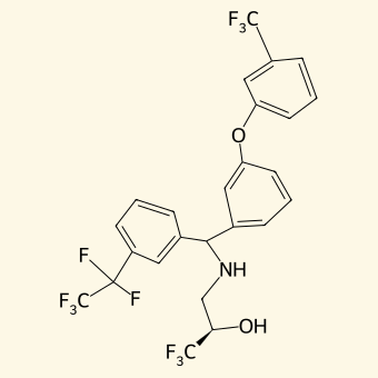 O[C@H](CNC(c1cccc(Oc2cccc(C(F)(F)F)c2)c1)c1cccc(C(F)(F)C(F)(F)F)c1)C(F)(F)F